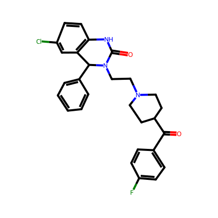 O=C(c1ccc(F)cc1)C1CCN(CCN2C(=O)Nc3ccc(Cl)cc3C2c2ccccc2)CC1